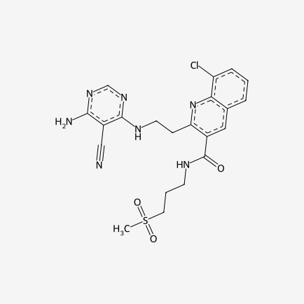 CS(=O)(=O)CCCNC(=O)c1cc2cccc(Cl)c2nc1CCNc1ncnc(N)c1C#N